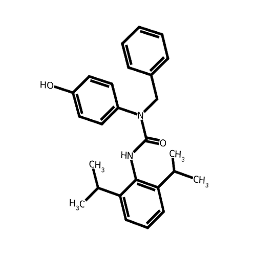 CC(C)c1cccc(C(C)C)c1NC(=O)N(Cc1ccccc1)c1ccc(O)cc1